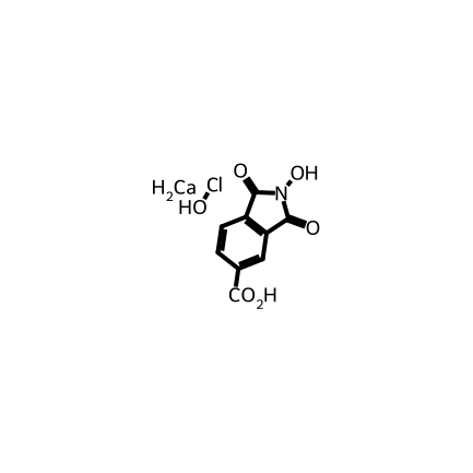 O=C(O)c1ccc2c(c1)C(=O)N(O)C2=O.OCl.[CaH2]